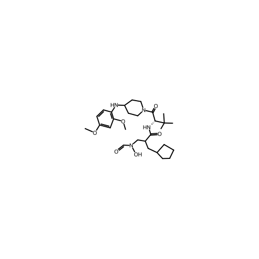 COc1ccc(NC2CCN(C(=O)[C@@H](NC(=O)C(CC3CCCC3)CN(O)C=O)C(C)(C)C)CC2)c(OC)c1